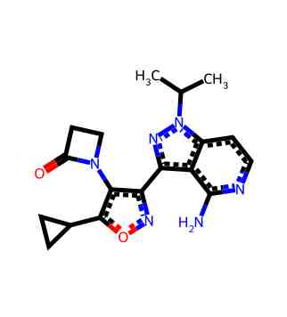 CC(C)n1nc(-c2noc(C3CC3)c2N2CCC2=O)c2c(N)nccc21